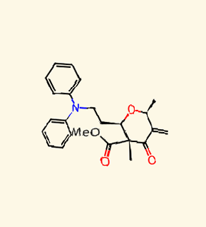 C=C1C(=O)[C@](C)(C(=O)OC)[C@@H](CCN(c2ccccc2)c2ccccc2)O[C@H]1C